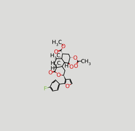 COC(=O)[C@@H]1C[C@H](OC(C)=O)C(=O)[C@H]2[C@@]1(C)CC[C@H]1C(=O)O[C@H](c3ccoc3-c3ccc(F)cc3)C[C@]21C